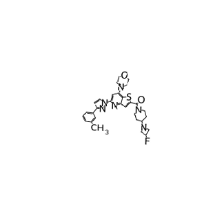 Cc1cccc(-c2ccn(-c3cc(N4CCOCC4)c4sc(C(=O)N5CCC(N6CC(F)C6)CC5)cc4n3)n2)c1